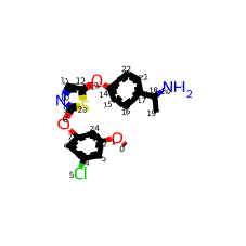 COc1cc(Cl)cc(Oc2ncc(Oc3ccc(C(C)N)cc3)s2)c1